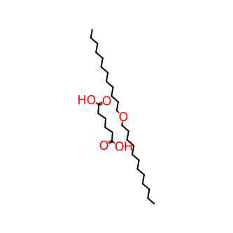 CCCCCCCCCCCCOCCCCCCCCCCCC.O=C(O)CCCCC(=O)O